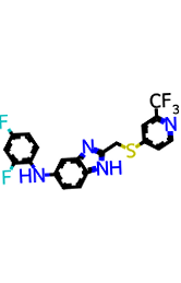 Fc1ccc(Nc2ccc3[nH]c(CSc4ccnc(C(F)(F)F)c4)nc3c2)c(F)c1